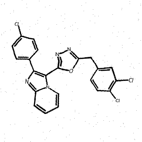 Clc1ccc(-c2nc3ccccn3c2-c2nnc(Cc3ccc(Cl)c(Cl)c3)o2)cc1